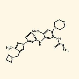 C=CC(=O)Nc1cc(Nc2nccc(-n3cc(CN4CCC4)c(C)n3)n2)c(OC)cc1N1CCOCC1